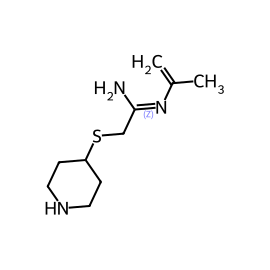 C=C(C)/N=C(\N)CSC1CCNCC1